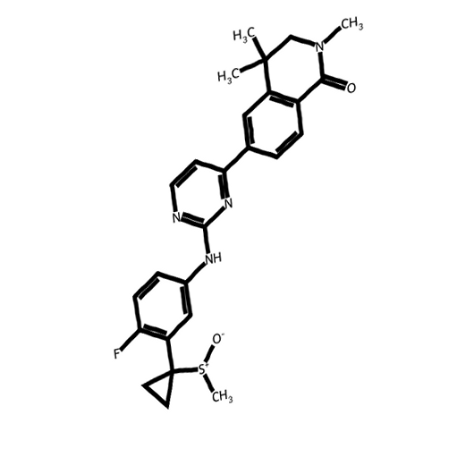 CN1CC(C)(C)c2cc(-c3ccnc(Nc4ccc(F)c(C5([S+](C)[O-])CC5)c4)n3)ccc2C1=O